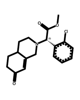 COC(=O)[C@H](c1ccccc1Cl)N1CCC2CCC(=O)C=C2C1